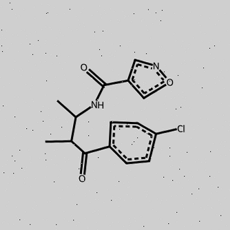 CC(NC(=O)c1cnoc1)C(C)C(=O)c1ccc(Cl)cc1